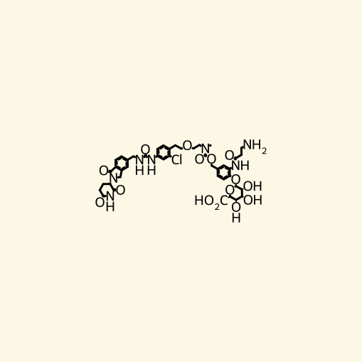 CN(CCOCCc1ccc(NC(=O)NCc2ccc3c(c2)CN(C2CCC(=O)NC2=O)C3=O)cc1Cl)C(=O)OCc1ccc(O[C@@H]2O[C@H](C(=O)O)[C@@H](O)[C@H](O)[C@H]2O)c(NC(=O)CCN)c1